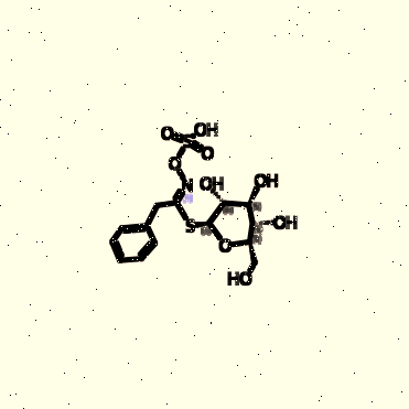 O=S(=O)(O)O/N=C(\Cc1ccccc1)S[C@@H]1O[C@H](CO)[C@@H](O)[C@H](O)[C@H]1O